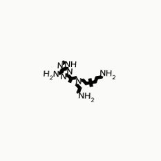 CC(CN(CCCN)CCC(C)(C)CCCN)c1nc(N)c2nc[nH]c2n1